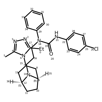 CCc1nnc(C)n1C1C[C@H]2CC[C@@H](C1)N2CCCN(C(=O)Nc1ccc(Cl)cc1)c1ccccc1